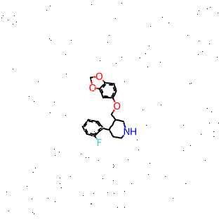 Fc1ccccc1C1CCNCC1COc1ccc2c(c1)OCO2